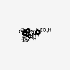 CC(C)(C)C[C@H]1CN(C(=O)Nc2ccc(C(=O)O)cc2)[C@@H](c2cccc(Cl)c2F)[C@]1(C#N)c1ccc(Cl)cc1F